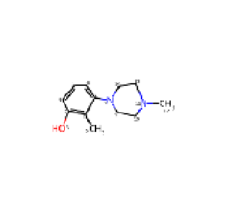 Cc1c(O)cccc1N1CCN(C)CC1